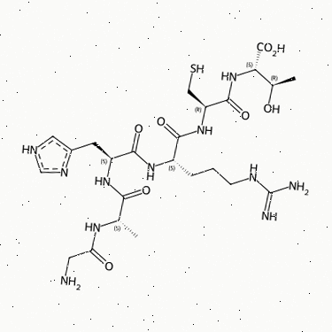 C[C@H](NC(=O)CN)C(=O)N[C@@H](Cc1c[nH]cn1)C(=O)N[C@@H](CCCNC(=N)N)C(=O)N[C@@H](CS)C(=O)N[C@H](C(=O)O)[C@@H](C)O